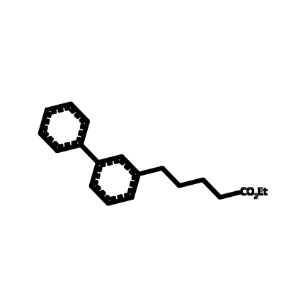 CCOC(=O)CCCCc1cccc(-c2ccccc2)c1